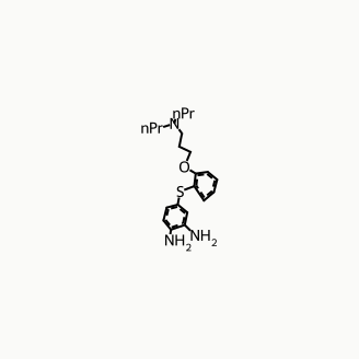 CCCN(CCC)CCCOc1ccccc1Sc1ccc(N)c(N)c1